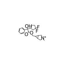 C[N+]1(C)CC2C(COC(=O)[C@](O)(c3ccccc3)C3CCC(F)(F)C3)C2C1